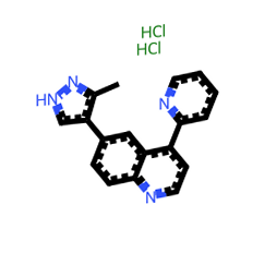 Cc1n[nH]cc1-c1ccc2nccc(-c3ccccn3)c2c1.Cl.Cl